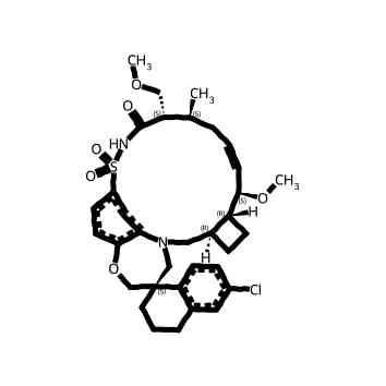 COC[C@H]1C(=O)NS(=O)(=O)c2ccc3c(c2)N(C[C@@H]2CC[C@H]2[C@H](OC)C=CC[C@@H]1C)C[C@@]1(CCCc2cc(Cl)ccc21)CO3